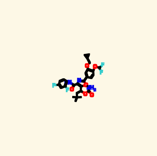 CC(C)(C)CC(OC(N)=O)c1oc(-c2ccc(OC(F)F)c(OCC3CC3)c2)nc1C(=O)Nc1ccc(F)cc1F